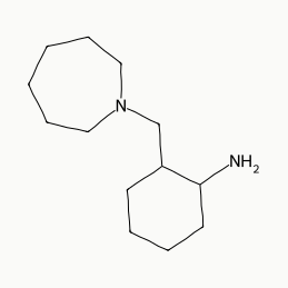 NC1CCCCC1CN1CCCCCC1